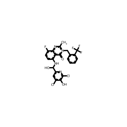 Cc1nc2c(F)ccc(NC(O)c3cc(Cl)c(O)c(Cl)n3)c2c(=O)n1Cc1ccccc1C(F)(F)F